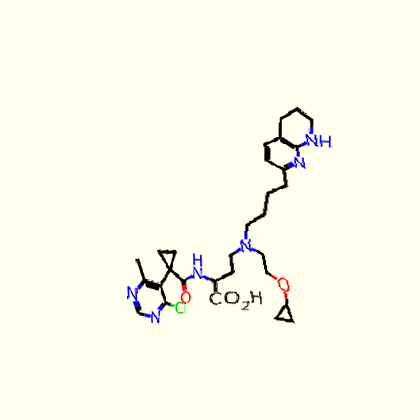 Cc1ncnc(Cl)c1C1(C(=O)NC(CCN(CCCCc2ccc3c(n2)NCCC3)CCOC2CC2)C(=O)O)CC1